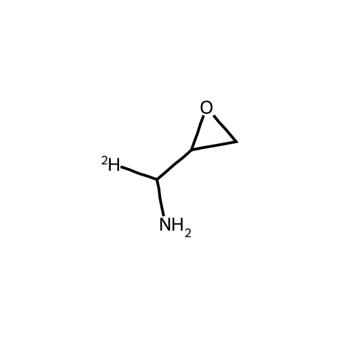 [2H]C(N)C1CO1